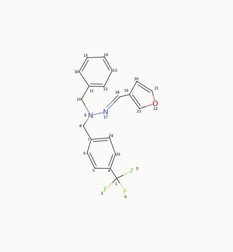 FC(F)(F)c1ccc(CN(Cc2ccccc2)N=Cc2ccoc2)cc1